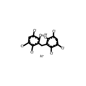 Oc1c(Cl)cc(Cl)c(Cl)c1Cc1c(O)c(Cl)cc(Cl)c1Cl.[H+]